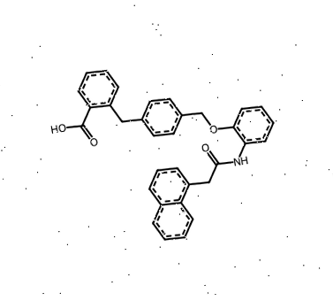 O=C(Cc1cccc2ccccc12)Nc1ccccc1OCc1ccc(Cc2ccccc2C(=O)O)cc1